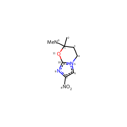 CNC1(C)CCn2cc([N+](=O)[O-])nc2O1